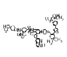 CC1(C)CCC(CN2CCN(c3ccc(C(=O)NS(=O)(=O)c4ccc(NC[C@H]5CC[C@](C)(O)CC5)c([N+](=O)[O-])c4)c(Oc4cnc5[nH]ccc5c4)c3)CC2)=C(c2cc(-c3ccc(C(C)(C)O)c(F)c3)cs2)C1